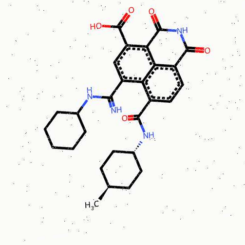 C[C@H]1CC[C@H](NC(=O)c2ccc3c4c(c(C(=O)O)cc(C(=N)NC5CCCCC5)c24)C(=O)NC3=O)CC1